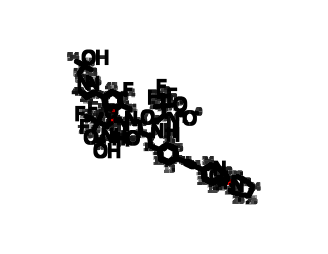 COC(=O)NC(C(=O)NC(Cc1ccc(C#Cc2ccc(N3CC4CCC(C3)N4C3COC3)nc2)cc1)C(O)CN(Cc1c(F)cc(-c2ccn(CC(C)(C)O)n2)cc1F)NC(=O)C(NC(=O)O)C(C)(C)C(F)(F)F)C(C)(C)C(F)(F)F